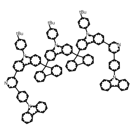 CC(C)(C)c1ccc(-n2c3ccc(-c4cncc(-c5ccc(-n6c7ccccc7c7ccccc76)cc5)c4)cc3c3cc(C4(c5ccc6c(c5)c5cc(C7(c8ccc9c(c8)c8cc(-c%10cncc(-c%11ccc(-n%12c%13ccccc%13c%13ccccc%13%12)cc%11)c%10)ccc8n9-c8ccc(C(C)(C)C)cc8)c8ccccc8-c8ccccc87)ccc5n6-c5ccc(C(C)(C)C)cc5)c5ccccc5-c5ccccc54)ccc32)cc1